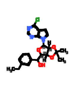 CCc1cccc(C(O)[C@H]2O[C@@H](n3ccc4c(Cl)ncnc43)[C@@H]3OC(C)(C)O[C@@H]32)c1